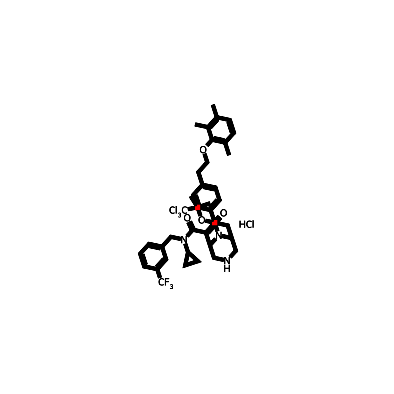 Cc1ccc(C)c(OCCc2ccc(C3=C(C(=O)N(Cc4cccc(C(F)(F)F)c4)C4CC4)C4CNCC(C3)N4C(=O)OC(C)(C)C(Cl)(Cl)Cl)cc2)c1C.Cl